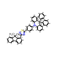 CC1(C)c2ccccc2-c2cccc(-c3nsc(-c4ccc(N5c6ccccc6C(c6ccccc6)(c6ccccc6)c6ccccc65)cc4)n3)c21